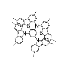 Cc1ccc2c(c1)-c1cc(C)cc3c1B2c1c(-n2c4ccc(C)cc4c4cc(C)ccc42)cc(-n2c4ccc(C)cc4c4cc(C)ccc42)c2c1N3c1cc(C)cc3c1B2c1ccc(C)cc1-3